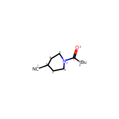 CC(C)(C)C(=O)N1CCC(C#N)CC1